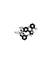 Cc1cccc(CN(C)S(=O)(=O)c2cc(-c3ccnn3-c3ccccc3Cl)c(O)cc2O)c1